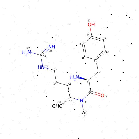 CC(=O)N(C(=O)[C@@H](N)Cc1ccc(O)cc1)[C@H]([C]=O)CCCNC(=N)N